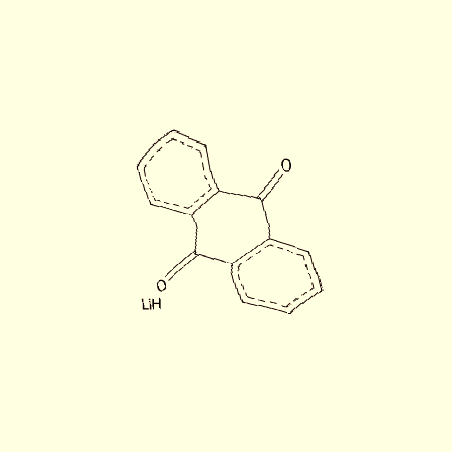 O=C1c2ccccc2C(=O)c2ccccc21.[LiH]